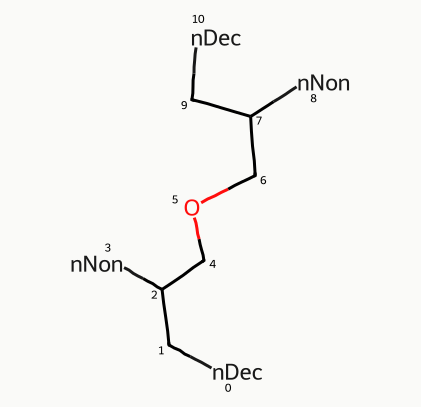 CCCCCCCCCCCC(CCCCCCCCC)COCC(CCCCCCCCC)CCCCCCCCCCC